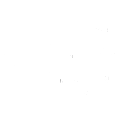 CN1CC(Cc2ccccc2)n2cc(C(=O)O)c(=O)c(O)c2C1=O